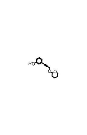 Oc1cccc(C#CCOC2CCCCO2)c1